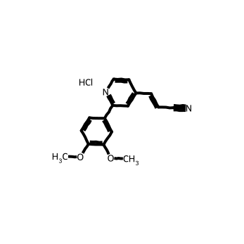 COc1ccc(-c2cc(C=CC#N)ccn2)cc1OC.Cl